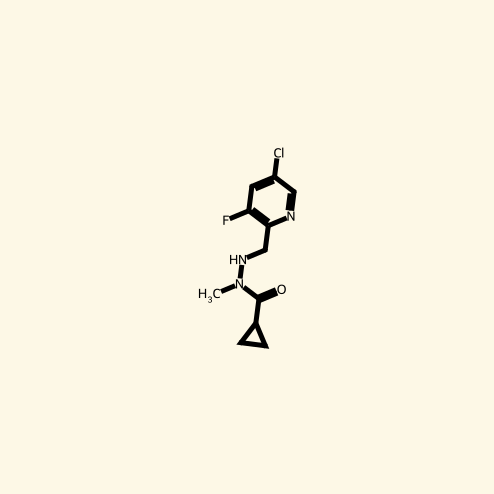 CN(NCc1ncc(Cl)cc1F)C(=O)C1CC1